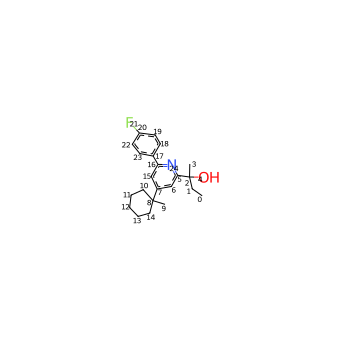 CCC(C)(O)c1cc(C2(C)CCCCC2)cc(-c2ccc(F)cc2)n1